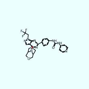 O=C(Nc1ccncc1)Nc1ccc(-c2nc(N3C4COCC3COC4)c3cnn(CC(F)(F)F)c3n2)cc1